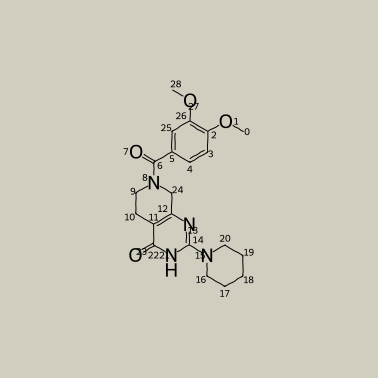 COc1ccc(C(=O)N2CCc3c(nc(N4CCCCC4)[nH]c3=O)C2)cc1OC